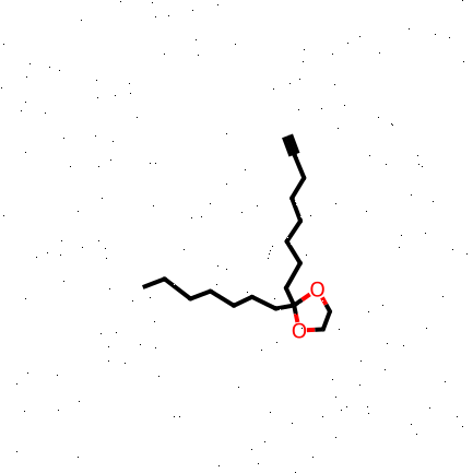 C#CCCCCCCC1(CCCCCCC)OCCO1